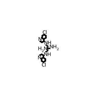 NCC(N)(CCNc1ccnc2cc(Cl)ccc12)CCNc1ccnc2cc(Cl)ccc12